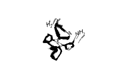 Nc1cncc(Oc2ccccc2-c2ccccc2Oc2cncc(N)c2)c1